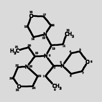 CCC(N1CCOCC1)N(C(CC)N1CCOCC1)C(CC)N1CCOCC1